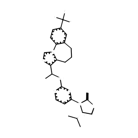 CC(Nc1nccc(N2C(=O)OC[C@@H]2C(C)C)n1)c1ncn2c1CCCc1cc(C(F)(F)F)ccc1-2